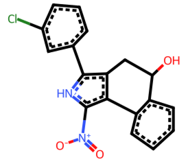 O=[N+]([O-])c1[nH]c(-c2cccc(Cl)c2)c2c1-c1ccccc1C(O)C2